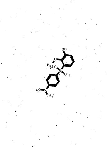 COc1c(O)cccc1[Si](C)(C)c1ccc(N(C)C)cc1